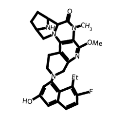 CCc1c(F)ccc2cc(O)cc(N3CCc4c(nc(OC)c5c4N4CC6CCC(N6)C4C(=O)N5C)C3)c12